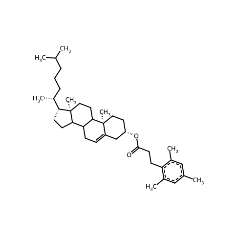 Cc1cc(C)c(CCC(=O)O[C@H]2CC[C@@]3(C)C(=CCC4C3CC[C@@]3(C)C4CC[C@@H]3[C@H](C)CCCC(C)C)C2)c(C)c1